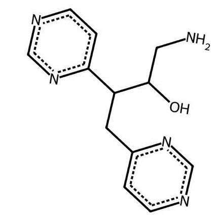 NCC(O)C(Cc1ccncn1)c1ccncn1